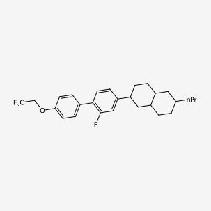 CCCC1CCC2CC(c3ccc(-c4ccc(OCC(F)(F)F)cc4)c(F)c3)CCC2C1